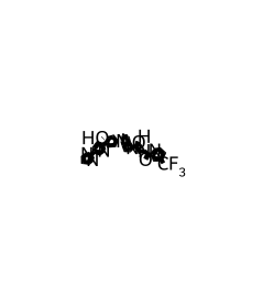 O=C(NCC(=O)N1CCC2C1CCN2[C@H]1CC[C@](O)(c2ccc(-c3ncccn3)cn2)CC1)c1cc(C(F)(F)F)ccn1